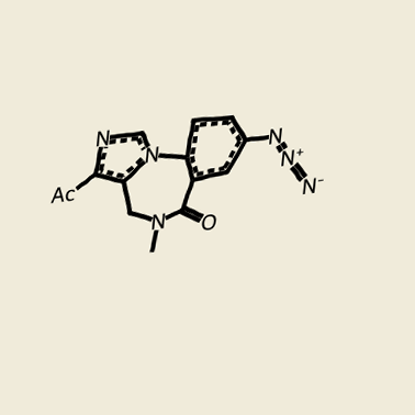 CC(=O)c1ncn2c1CN(C)C(=O)c1cc(N=[N+]=[N-])ccc1-2